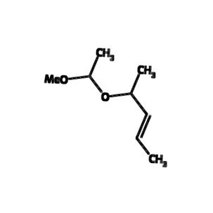 C/C=C/C(C)OC(C)OC